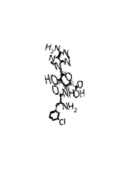 Nc1ncnc2c1ncn2[C@H]1O[C@H](C(=O)O)[C@@H](NC(=O)C(N)Cc2cccc(Cl)c2)[C@H]1O